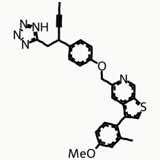 CC#CC(Cc1nnn[nH]1)c1ccc(OCc2cc3c(-c4ccc(OC)cc4C)csc3cn2)cc1